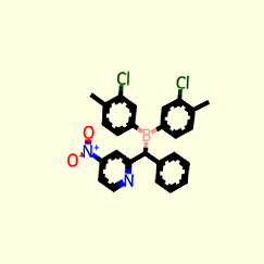 Cc1ccc(B(c2ccc(C)c(Cl)c2)C(c2ccccc2)c2cc([N+](=O)[O-])ccn2)cc1Cl